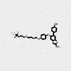 Oc1ccc(-c2cc3sc(O)cc3cc2Oc2ccc(OCCCCSCCCC(F)(F)C(F)(F)F)cc2)cc1